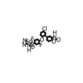 O=c1[nH]c2cc(-c3cc(Cl)ccc3Oc3cc(F)c(S(=O)(=O)Nc4ncns4)cc3F)ccc2o1